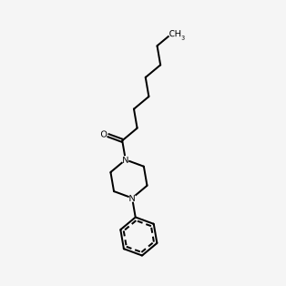 CCCCCCCC(=O)N1CCN(c2ccccc2)CC1